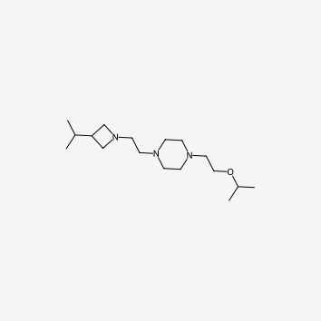 CC(C)OCCN1CCN(CCN2CC(C(C)C)C2)CC1